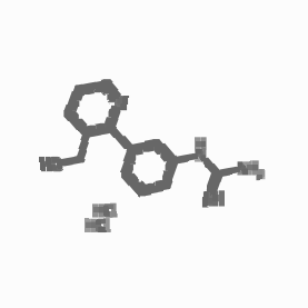 Cl.Cl.N=C(N)Nc1cccc(-c2ncccc2CO)c1